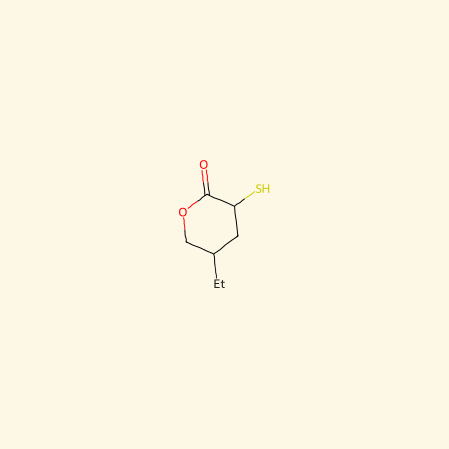 CCC1COC(=O)C(S)C1